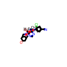 Cc1c(Nc2ccc(C#N)cc2Cl)ncnc1OC1C2CC(=O)CC1CN(C(=O)OC(C)(C)C)C2